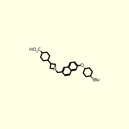 CC(C)(C)[C@H]1CC[C@H](Oc2ccc3cc(CN4CC(C5CCC(C(=O)O)CC5)C4)ccc3c2)CC1